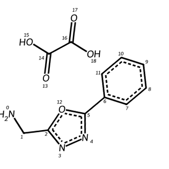 NCc1nnc(-c2ccccc2)o1.O=C(O)C(=O)O